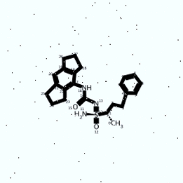 C[C@@H](CCc1ccccc1)[S@](N)(=O)=NC(=O)Nc1c2c(cc3c1CCC3)CCC2